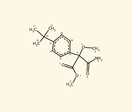 COC(=O)C(OC)(C(N)=O)c1ccc(C(C)(C)C)cc1